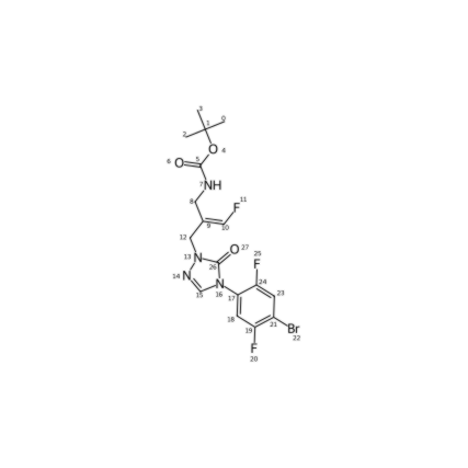 CC(C)(C)OC(=O)NCC(=CF)Cn1ncn(-c2cc(F)c(Br)cc2F)c1=O